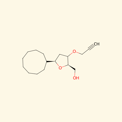 C#CCOC1C[C@H](C2CCCCCCCC2)O[C@@H]1CO